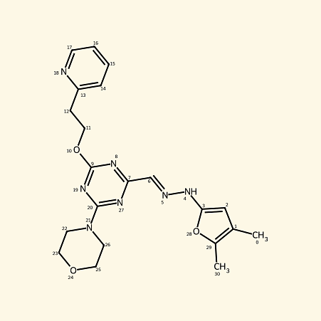 Cc1cc(N/N=C/c2nc(OCCc3ccccn3)nc(N3CCOCC3)n2)oc1C